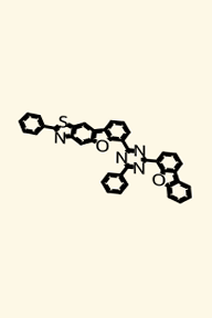 c1ccc(-c2nc(-c3cccc4c3oc3ccccc34)nc(-c3cccc4c3oc3cc5nc(-c6ccccc6)sc5cc34)n2)cc1